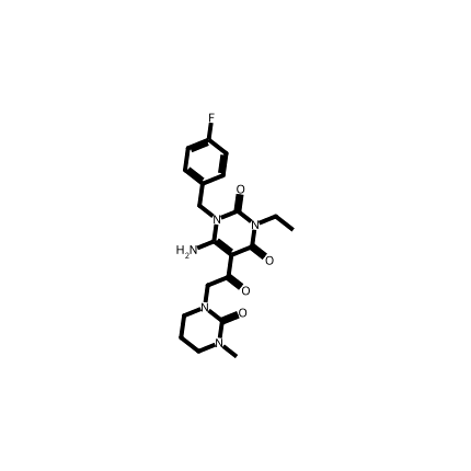 CCn1c(=O)c(C(=O)CN2CCCN(C)C2=O)c(N)n(Cc2ccc(F)cc2)c1=O